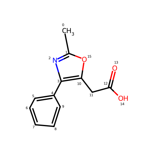 Cc1nc(-c2ccccc2)c(CC(=O)O)o1